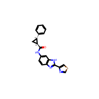 O=C(Nc1ccc2nc(-c3cscn3)[nH]c2c1)[C@H]1C[C@@H]1c1ccccc1